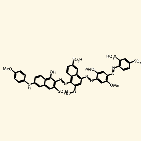 CCOc1cc(N=Nc2cc(OC)c(N=Nc3ccc(S(=O)(=O)O)cc3S(=O)(=O)O)cc2OC)c2cc(S(=O)(=O)O)ccc2c1N=Nc1c(S(=O)(=O)O)cc2cc(Nc3ccc(OC)cc3)ccc2c1O